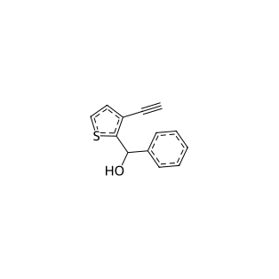 C#Cc1ccsc1C(O)c1ccccc1